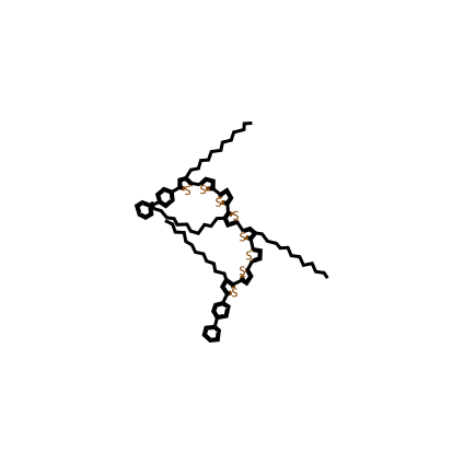 CCCCCCCCCCCCc1cc(-c2ccc(-c3ccccc3)cc2)sc1-c1ccc(-c2ccc(-c3sc(-c4cc(CCCCCCCCCCCC)c(-c5ccc(-c6ccc(-c7sc(-c8ccc(-c9ccccc9)cc8)cc7CCCCCCCCCCCC)s6)s5)s4)cc3CCCCCCCCCCCC)s2)s1